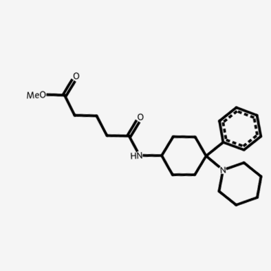 COC(=O)CCCC(=O)NC1CCC(c2ccccc2)(N2CCCCC2)CC1